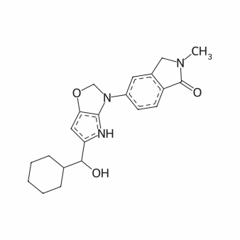 CN1Cc2cc(N3COc4cc(C(O)C5CCCCC5)[nH]c43)ccc2C1=O